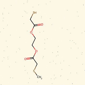 CSCC(=O)OCCOC(=O)CS